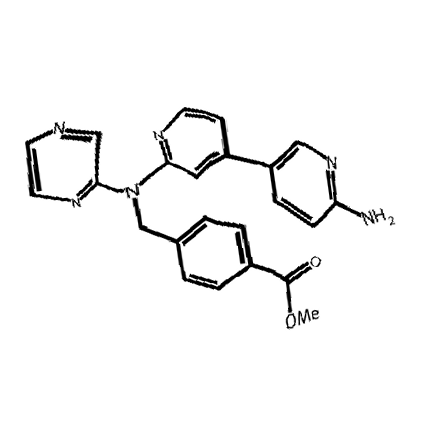 COC(=O)c1ccc(CN(c2cnccn2)c2cc(-c3ccc(N)nc3)ccn2)cc1